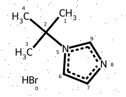 Br.CC(C)(C)n1ccnc1